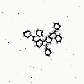 C(=C(c1ccccc1)c1ccccc1)c1ccc2c(c1)c1cc(C=C(c3ccccc3)c3ccccc3)ccc1p2-c1ccccc1